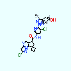 CCc1nn(-c2ncc(NC(=O)C3CC4(CCC4)c4c3cnc3cc(Cl)nn43)cc2Cl)nc1C[Si](C)(O)C(C)(C)C